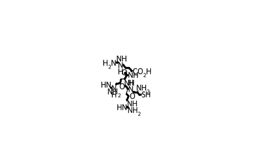 N=C(N)NCCC[C@H](NC(=O)[C@H](CCCNC(=N)N)NC(=O)[C@H](CCCNC(=N)N)NC(=O)[C@@H](N)CS)C(=O)O